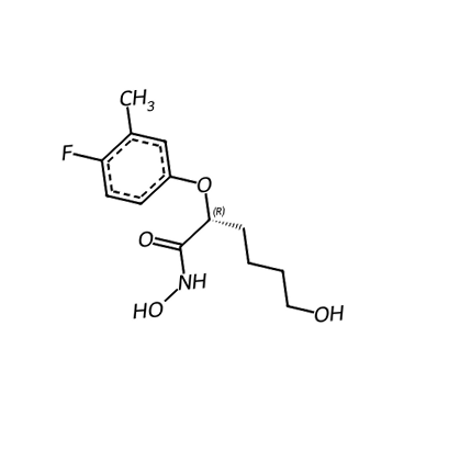 Cc1cc(O[C@H](CCCCO)C(=O)NO)ccc1F